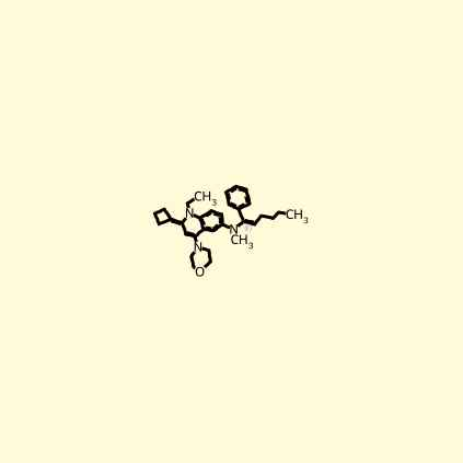 CCCC/C=C(\c1ccccc1)N(C)c1ccc2c(c1)C(N1CCOCC1)=CC(=C1CCC1)N2CC